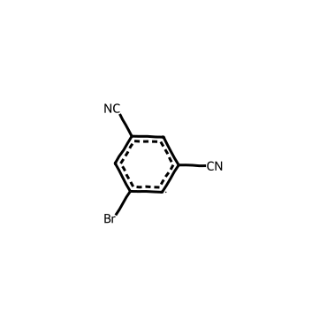 N#Cc1[c]c(Br)cc(C#N)c1